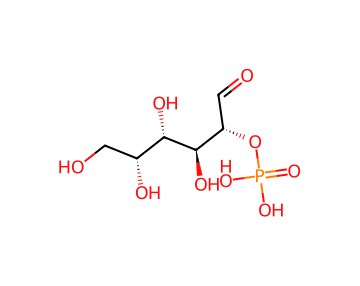 O=C[C@H](OP(=O)(O)O)[C@@H](O)[C@@H](O)[C@H](O)CO